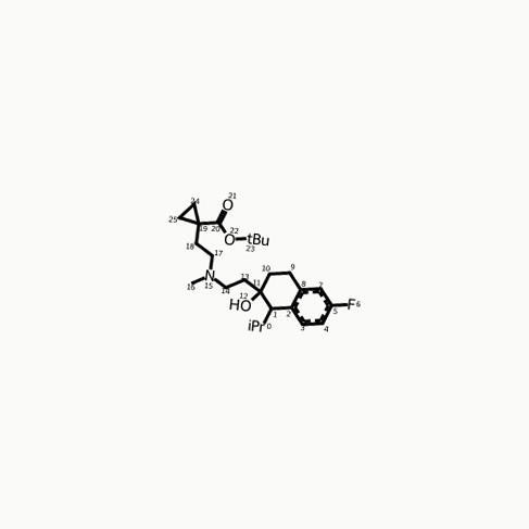 CC(C)C1c2ccc(F)cc2CCC1(O)CCN(C)CCC1(C(=O)OC(C)(C)C)CC1